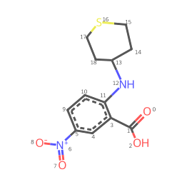 O=C(O)c1cc([N+](=O)[O-])ccc1NC1CCSCC1